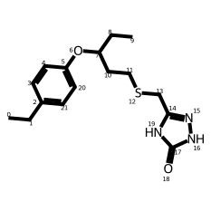 CCc1ccc(OC(CC)CCSCc2n[nH]c(=O)[nH]2)cc1